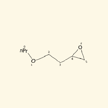 CCCOCCC1CO1